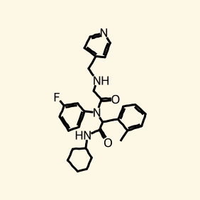 Cc1ccccc1C(C(=O)NC1CCCCC1)N(C(=O)CNCc1ccncc1)c1cccc(F)c1